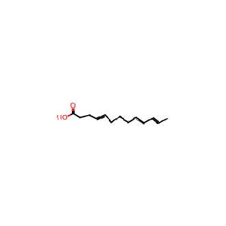 C/C=C/CCCCC/C=C/CCC(=O)O